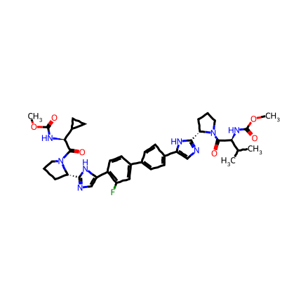 COC(=O)N[C@H](C(=O)N1CCC[C@H]1c1ncc(-c2ccc(-c3ccc(-c4cnc([C@@H]5CCCN5C(=O)[C@@H](NC(=O)OC)C5CC5)[nH]4)c(F)c3)cc2)[nH]1)C(C)C